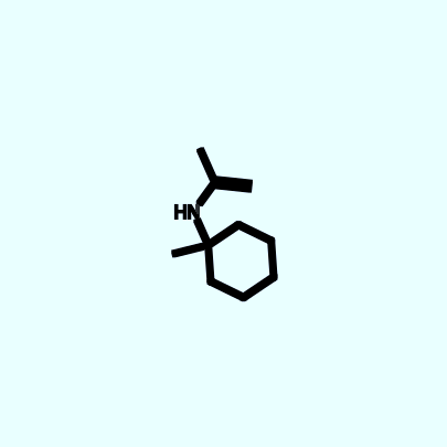 C=C(C)NC1(C)CCCCC1